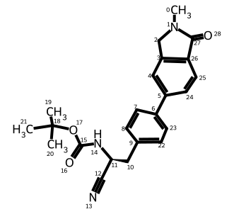 CN1Cc2cc(-c3ccc(C[C@@H](C#N)NC(=O)OC(C)(C)C)cc3)ccc2C1=O